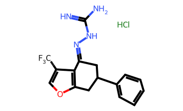 Cl.N=C(N)N/N=C1\CC(c2ccccc2)Cc2occ(C(F)(F)F)c21